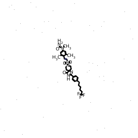 Cc1cc(N(C)C(N)=O)cc(C)c1/C=C/S(=O)(=O)N1CCC2(CC1)N=C(c1ccc(CCCCCC(F)(F)F)cc1)NC2=O